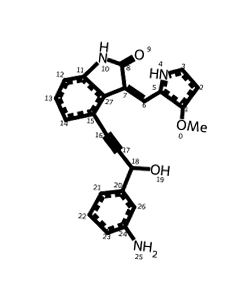 COc1cc[nH]c1/C=C1\C(=O)Nc2cccc(C#CC(O)c3cccc(N)c3)c21